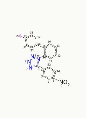 O=[N+]([O-])c1ccc(-c2nnnn2-c2ccccc2-c2ccc(I)cc2)cc1